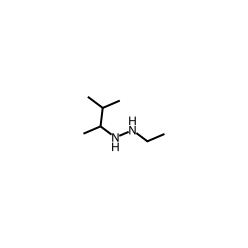 CCNNC(C)C(C)C